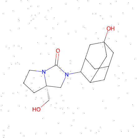 O=C1N(C2C3CC4CC2CC(O)(C4)C3)C[C@@]2(CO)CCCN12